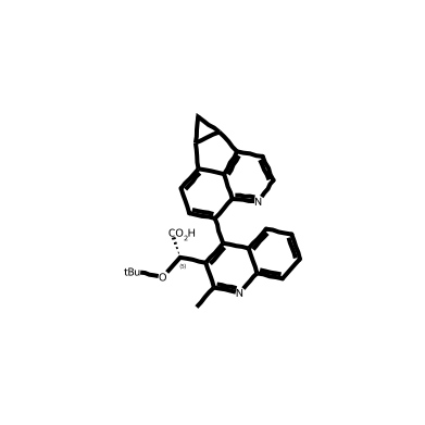 Cc1nc2ccccc2c(-c2ccc3c4c(ccnc24)C2CC32)c1[C@H](OC(C)(C)C)C(=O)O